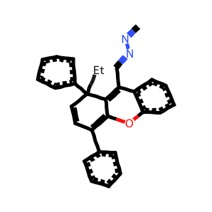 C=NN=CC1=C2C(=C(c3ccccc3)C=CC2(CC)c2ccccc2)Oc2ccccc21